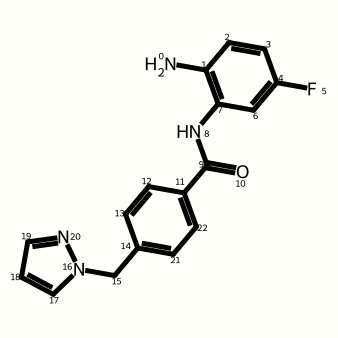 Nc1ccc(F)cc1NC(=O)c1ccc(Cn2cccn2)cc1